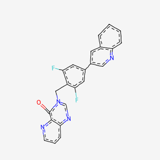 O=c1c2ncccc2ncn1Cc1c(F)cc(-c2cnc3ccccc3c2)cc1F